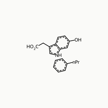 CCCc1ccccc1.O=C(O)Cc1c[nH]c2cc(O)ccc12